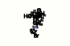 CN(C(=O)/C=C/c1cc(Br)cs1)C1CC[C@@]2(O)[C@H]3C(=O)c4ccc(O)c5c4[C@@]2(CCN3C)C1O5